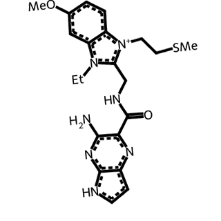 CCn1c(CNC(=O)c2nc3cc[nH]c3nc2N)[n+](CCSC)c2ccc(OC)cc21